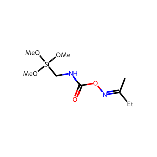 CCC(C)=NOC(=O)NC[Si](OC)(OC)OC